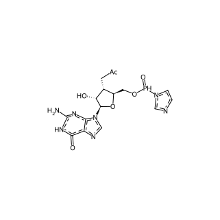 CC(=O)C[C@H]1[C@@H](O)[C@H](n2cnc3c(=O)[nH]c(N)nc32)O[C@@H]1CO[PH](=O)n1ccnc1